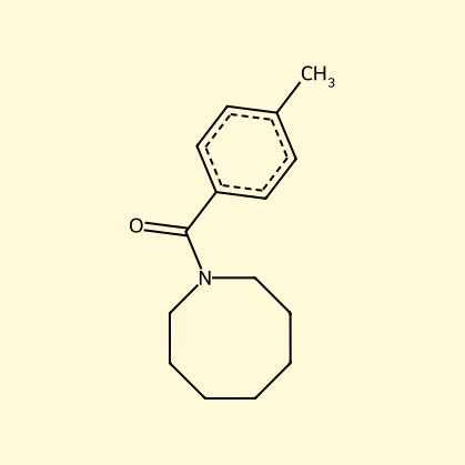 Cc1ccc(C(=O)N2CCCCCCC2)cc1